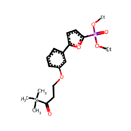 CCOP(=O)(OCC)c1ccc(-c2cccc(OCCC(=O)[Si](C)(C)C)c2)o1